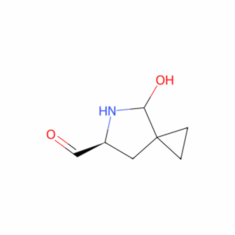 O=C[C@@H]1CC2(CC2)C(O)N1